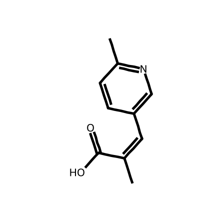 CC(=Cc1ccc(C)nc1)C(=O)O